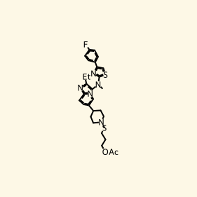 CCc1nc2ccc(C3CCN(SCCCOC(C)=O)CC3)cn2c1N(C)c1nc(-c2ccc(F)cc2)cs1